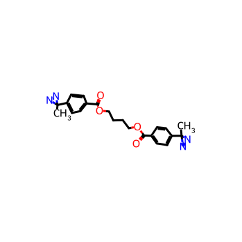 CC1(c2ccc(C(=O)OCCCCOC(=O)c3ccc(C4(C)N=N4)cc3)cc2)N=N1